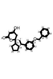 O=C1C=C(O)C[C@@](CCc2cccc(OCc3ccccc3)c2)(C2CCCC2)O1